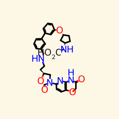 O=C(O)N[C@H]1CC[C@@H](Oc2cccc(-c3cccc(CNCC[C@H]4CN(c5ccc6c(n5)NC(=O)CO6)C(=O)O4)c3)c2)C1